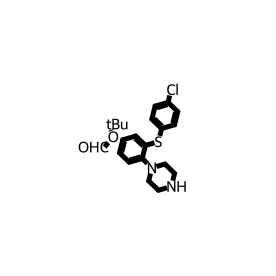 CC(C)(C)OC=O.Clc1ccc(Sc2ccccc2N2CCNCC2)cc1